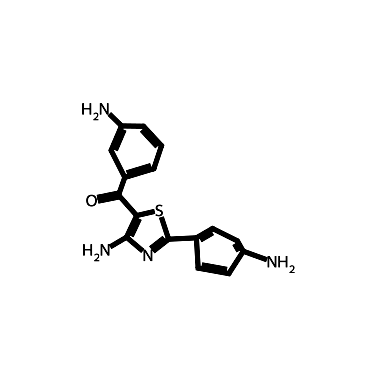 Nc1ccc(-c2nc(N)c(C(=O)c3cccc(N)c3)s2)cc1